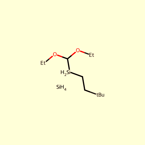 CCOC(OCC)[SiH2]CCC(C)(C)C.[SiH4]